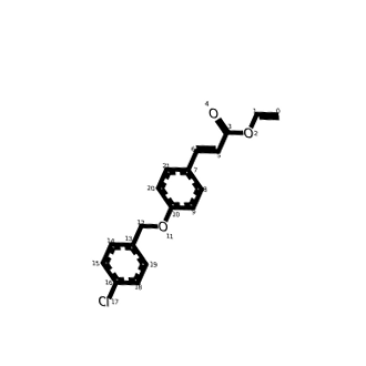 C=COC(=O)C=Cc1ccc(OCc2ccc(Cl)cc2)cc1